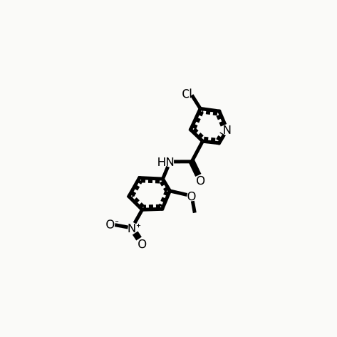 COc1cc([N+](=O)[O-])ccc1NC(=O)c1cncc(Cl)c1